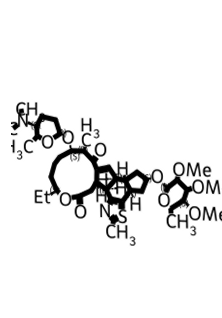 CC[C@H]1CCC[C@H](O[C@H]2CC[C@H](N(C)C)C(C)O2)[C@@H](C)C(=O)C2=C[C@H]3[C@@H]4C[C@H](O[C@@H]5OC(C)[C@H](OC)C(OC)C5OC)C[C@H]4c4sc(C)nc4[C@H]3[C@@H]2CC(=O)O1